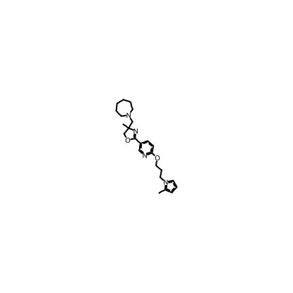 Cc1cccn1CCCOc1ccc(C2=NC(C)(CN3CCCCCC3)CO2)cn1